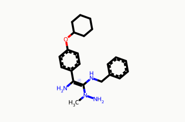 CN(N)/C(NCc1ccccc1)=C(\N)c1ccc(OC2CCCCC2)cc1